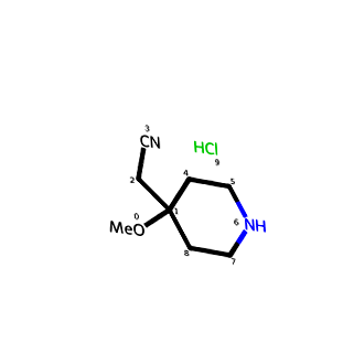 COC1(CC#N)CCNCC1.Cl